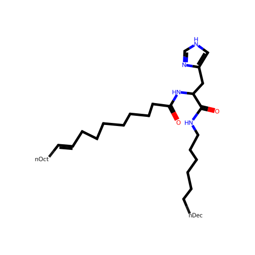 CCCCCCCC/C=C/CCCCCCCC(=O)NC(Cc1c[nH]cn1)C(=O)NCCCCCCCCCCCCCCCC